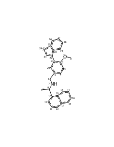 COc1ccc(CN[C@H](C)c2cccc3ccccc23)cc1-c1csc2ccccc12